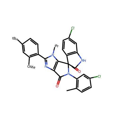 COc1cc(C(C)(C)C)ccc1-c1nc2c(n1C(C)C)C1(C(=O)Nc3cc(Cl)ccc31)N(c1cc(Cl)ccc1C)C2=O